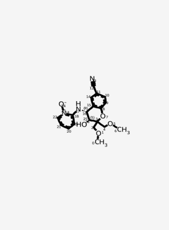 COCC1(COC)Oc2ccc(C#N)cc2[C@@H](Nc2cccc[n+]2[O-])[C@@H]1O